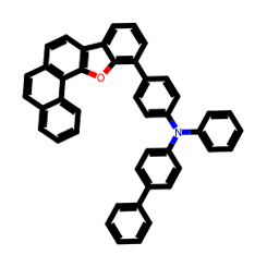 c1ccc(-c2ccc(N(c3ccccc3)c3ccc(-c4cccc5c4oc4c5ccc5ccc6ccccc6c54)cc3)cc2)cc1